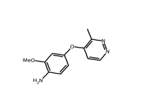 COc1cc(Oc2ccnnc2C)ccc1N